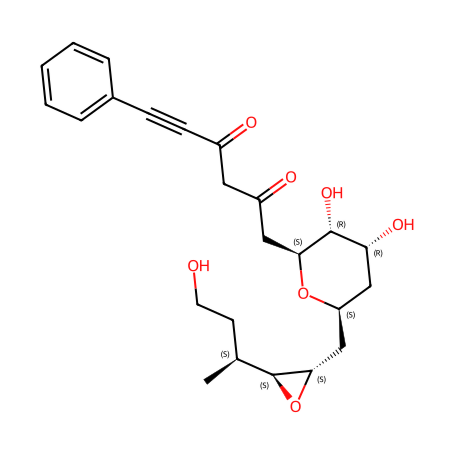 C[C@@H](CCO)[C@@H]1O[C@H]1C[C@@H]1C[C@@H](O)[C@@H](O)[C@H](CC(=O)CC(=O)C#Cc2ccccc2)O1